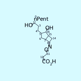 CCCCCC(O)CCC1CC2C(=NOCCC(=O)O)CC2C1O